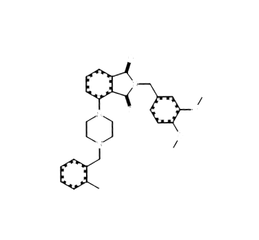 COc1ccc(CN2C(=O)c3cccc(N4CCN(Cc5ccccc5C)CC4)c3C2=O)cc1OC